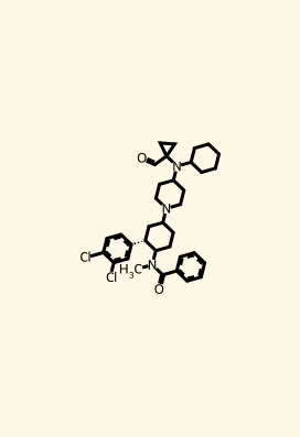 CN(C(=O)c1ccccc1)C1CCC(N2CCC(N(C3CCCCC3)C3(C=O)CC3)CC2)C[C@H]1c1ccc(Cl)c(Cl)c1